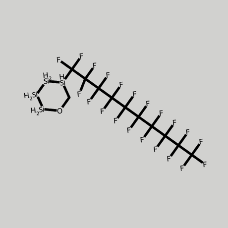 FC(F)(F)C(F)(F)C(F)(F)C(F)(F)C(F)(F)C(F)(F)C(F)(F)C(F)(F)C(F)(F)C(F)(F)[SiH]1CO[SiH2][SiH2][SiH2]1